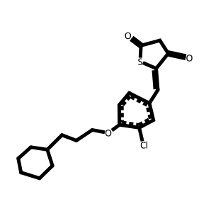 O=C1CC(=O)/C(=C/c2ccc(OCCCC3CCCCC3)c(Cl)c2)S1